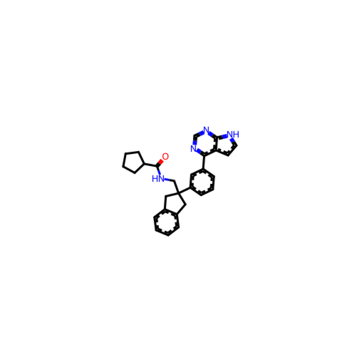 O=C(NCC1(c2cccc(-c3ncnc4[nH]ccc34)c2)Cc2ccccc2C1)C1CCCC1